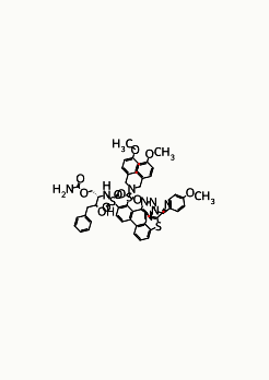 COc1ccc(CN(Cc2ccc(OC)cc2)S(=O)(=O)c2c(S(=O)(=O)N[C@@H](COC(N)=O)[C@@H](O)Cc3ccccc3)ccc(-c3cccc4sc(C#N)nc34)c2-c2nnn(Cc3ccc(OC)cc3)n2)cc1